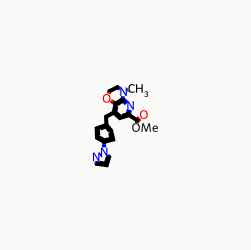 COC(=O)c1cc(Cc2ccc(-n3cccn3)cc2)c2c(n1)N(C)CCO2